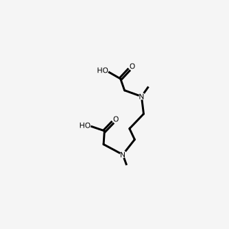 CN(CCCN(C)CC(=O)O)CC(=O)O